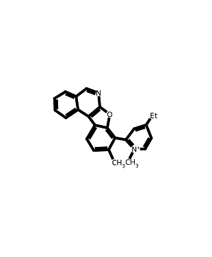 CCc1cc[n+](C)c(-c2c(C)ccc3c2oc2ncc4ccccc4c23)c1